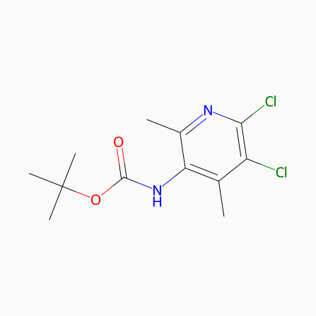 Cc1nc(Cl)c(Cl)c(C)c1NC(=O)OC(C)(C)C